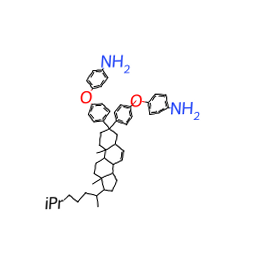 CC(C)CCCC(C)C1CCC2C3C=CC4CC(c5ccc(Oc6ccc(N)cc6)cc5)(c5ccc(Oc6ccc(N)cc6)cc5)CCC4(C)C3CCC12C